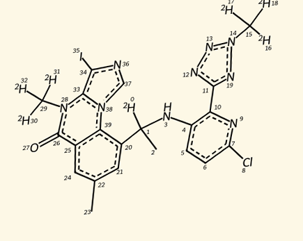 [2H]C(C)(Nc1ccc(Cl)nc1-c1nnn(C([2H])([2H])[2H])n1)c1cc(C)cc2c(=O)n(C([2H])([2H])[2H])c3c(I)ncn3c12